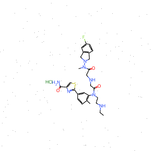 CCNCCN(C(=O)CNCC(=O)N(C)N1Cc2ccc(F)cc2C1)c1cc(-c2nc(C(N)=O)cs2)ccc1C.Cl